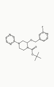 CC(C)(C)OC(=O)N1CCN(c2cnccn2)CC1OCc1ccnc(F)c1